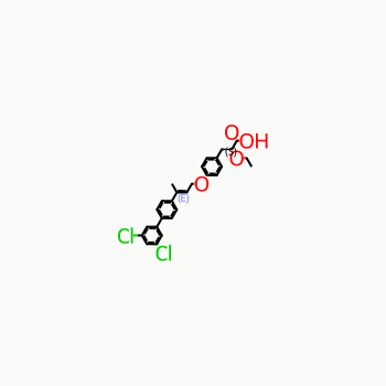 CCO[C@@H](Cc1ccc(OC/C=C(\C)c2ccc(-c3cc(Cl)cc(Cl)c3)cc2)cc1)C(=O)O